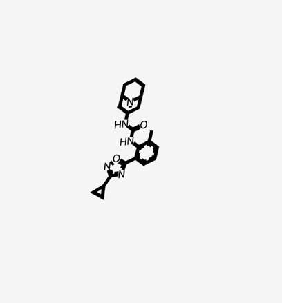 Cc1cccc(-c2nc(C3CC3)no2)c1NC(=O)NC1CC2CCCC(C1)N2C